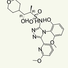 COC1=NC(c2nnc(NS(=O)(=O)[C@H](C)[C@H](O)C3CCOCC3)n2-c2c(O)cccc2OC)=C=C=C1